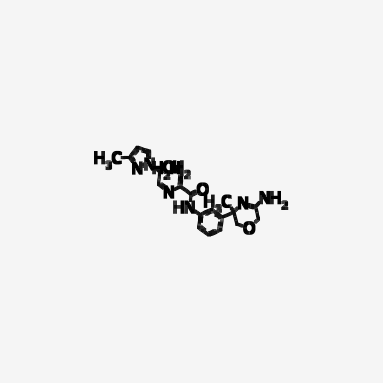 C=C(/C=N\C(=C/N)C(=O)Nc1cccc(C2(C)COCC(N)=N2)c1)n1ccc(C)n1